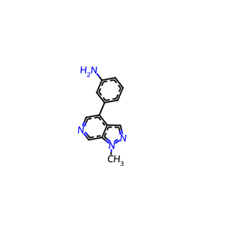 Cn1ncc2c(-c3cccc(N)c3)cncc21